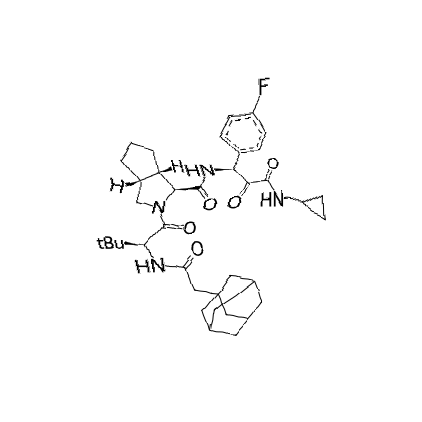 CC(C)(C)[C@H](NC(=O)CC12CC3CC(CC(C3)C1)C2)C(=O)N1C[C@@H]2CCC[C@@H]2[C@H]1C(=O)N[C@H](C(=O)C(=O)NC1CC1)c1ccc(F)cc1